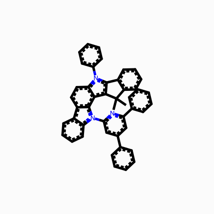 CC1(C)c2ccccc2-c2c1c1c(ccc3c4ccccc4n(-c4cc(-c5ccccc5)cc(-c5ccccc5)n4)c31)n2-c1ccccc1